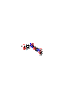 COC(=O)c1ccc(-c2noc(COC3CCN(C(=O)OC(C)(C)C)CC3)n2)cc1F